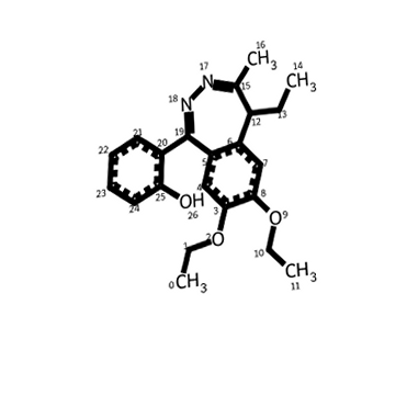 CCOc1cc2c(cc1OCC)C(CC)C(C)=NN=C2c1ccccc1O